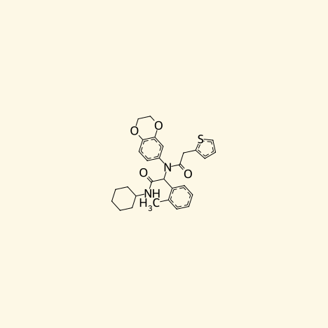 Cc1ccccc1C(C(=O)NC1CCCCC1)N(C(=O)Cc1cccs1)c1ccc2c(c1)OCCO2